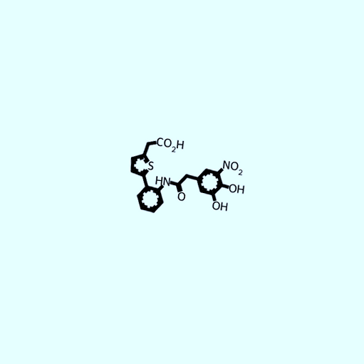 O=C(O)Cc1ccc(-c2ccccc2NC(=O)Cc2cc(O)c(O)c([N+](=O)[O-])c2)s1